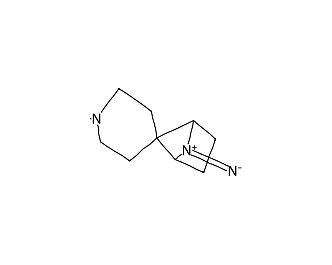 [N-]=[N+]1C2CCC1C21CC[N]CC1